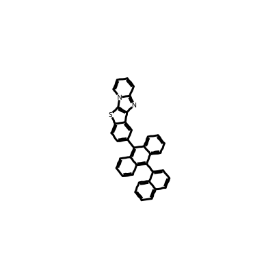 c1ccc2c(-c3c4ccccc4c(-c4ccc5sc6c(nc7ccccn76)c5c4)c4ccccc34)cccc2c1